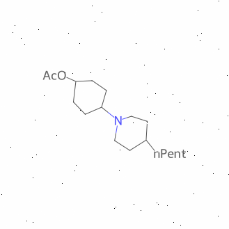 CCCCCC1CCN(C2CCC(OC(C)=O)CC2)CC1